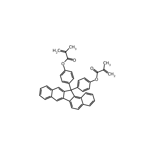 C=C(C)C(=O)Oc1ccc(C2(c3ccc(OC(=O)C(=C)C)cc3)c3cc4ccccc4cc3-c3ccc4ccccc4c32)cc1